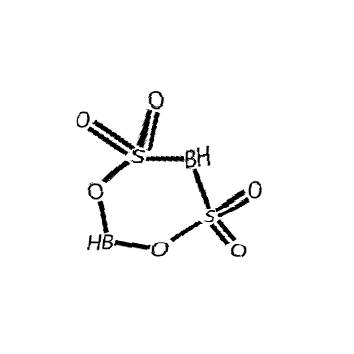 O=S1(=O)BS(=O)(=O)OBO1